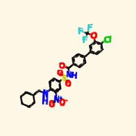 O=C(NS(=O)(=O)c1ccc(NCC2CCCCC2)c([N+](=O)[O-])c1)c1ccc(-c2ccc(Cl)c(OC(F)(F)F)c2)cc1